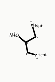 CCCCCCCCC(CCCCCCCC)OC